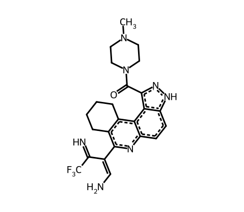 CN1CCN(C(=O)c2n[nH]c3ccc4nc(/C(=C/N)C(=N)C(F)(F)F)c5c(c4c23)CCCC5)CC1